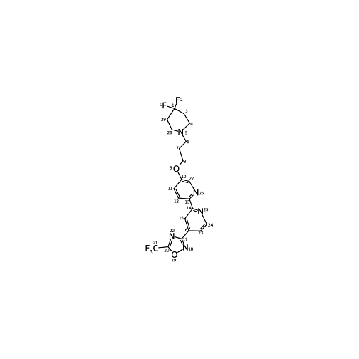 FC1(F)CCN(CCCOc2ccc(-c3cc(-c4noc(C(F)(F)F)n4)ccn3)nc2)CC1